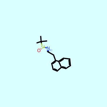 CC(C)(C)[S+]([O-])/N=C/Cc1cccc2ccccc12